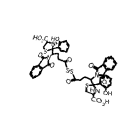 O=C(CCC(N1C(=O)c2ccccc2C1=O)C1(c2ccccc2O)NC(C(=O)O)CS1)SSC(=O)CCC(N1C(=O)c2ccccc2C1=O)C1(c2ccccc2O)NC(C(=O)O)CS1